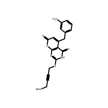 COCC#CCOc1nc2oc(=O)cc(Cc3cccc(C)c3)c2c(=O)[nH]1